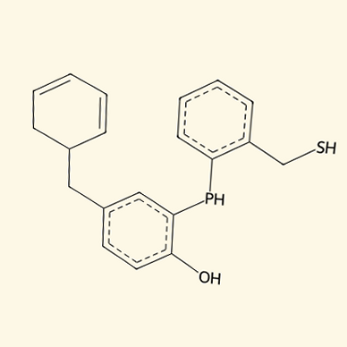 Oc1ccc(CC2C=CC=CC2)cc1Pc1ccccc1CS